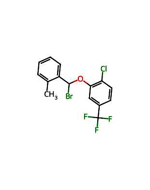 Cc1ccccc1C(Br)Oc1cc(C(F)(F)F)ccc1Cl